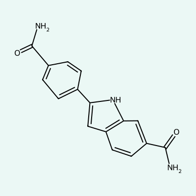 NC(=O)c1ccc(-c2cc3ccc(C(N)=O)cc3[nH]2)cc1